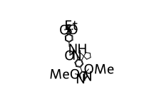 CCS(=O)(=O)c1ccc(CNC(=O)N2CC3(CCCC3)c3cc(-c4c(OC)ncnc4OC)ccc32)cc1